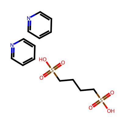 O=S(=O)(O)CCCCS(=O)(=O)O.c1ccncc1.c1ccncc1